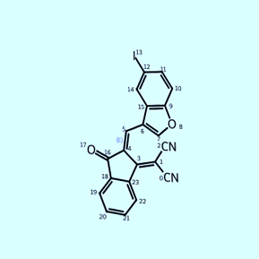 N#CC(C#N)=C1/C(=C\c2coc3ccc(I)cc23)C(=O)c2ccccc21